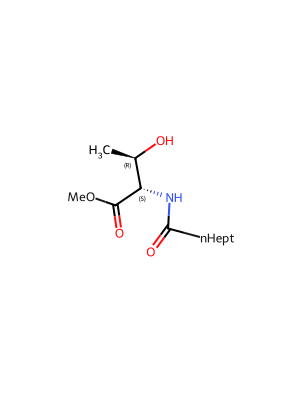 CCCCCCCC(=O)N[C@H](C(=O)OC)[C@@H](C)O